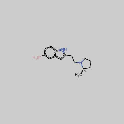 Bc1ccc2[nH]c(CCN3CCC[C@H]3C)cc2c1